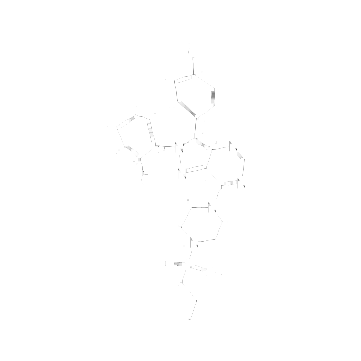 CCCS(=O)(=O)N1CCN(c2ncnc3c(-c4ccc(Cl)cc4)n(-c4ccccc4Cl)nc23)CC1